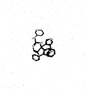 FC(F)(F)C1=CN=C(NC2CCCNC2)NC1(c1c[nH]cc1-c1ccccc1)c1c[nH]cc1-c1ccccc1